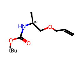 C=CCOC[C@H](C)NC(=O)OC(C)(C)C